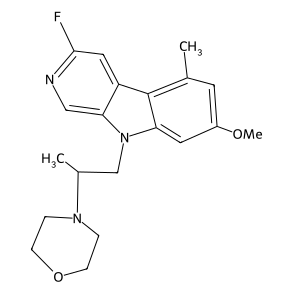 COc1cc(C)c2c3cc(F)ncc3n(CC(C)N3CCOCC3)c2c1